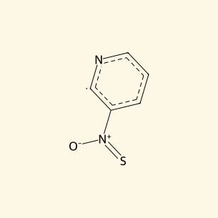 [O-][N+](=S)c1[c]nccc1